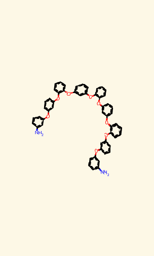 Nc1cccc(Oc2cccc(Oc3ccccc3Oc3cccc(Oc4ccccc4Oc4cccc(Oc5ccccc5Oc5cccc(Oc6cccc(N)c6)c5)c4)c3)c2)c1